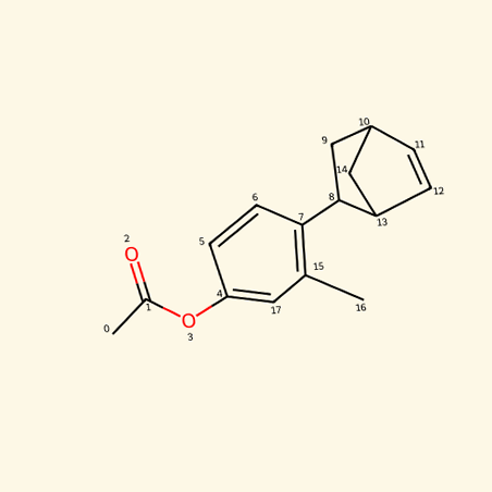 CC(=O)Oc1ccc(C2CC3C=CC2C3)c(C)c1